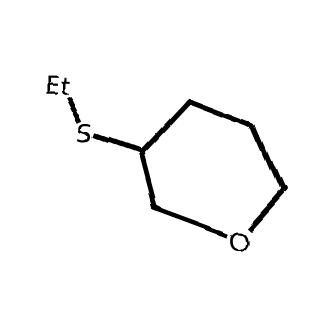 CCSC1CCCOC1